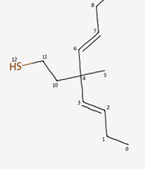 CCC=CC(C)(C=CCC)CCS